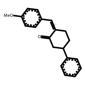 COc1ccc(/C=C2/CCC(c3ccccc3)CC2=O)cc1